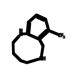 FC(F)(F)c1cccc2c1CNCCCCN2